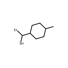 CCC(S)C1CCC(C)CC1